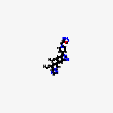 Cc1cc2c(C3CCN(CC(N)=O)CC3)n[nH]c2cc1-c1cc(C)c2ncnn2c1